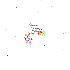 C=CCOC(=O)N[C@H](C(=O)OC(C)c1ccc([C@H]2C[C@@]3(C)C(CC[C@@]3(O)C(F)(F)C(F)(F)F)C3CCC4=CC(=O)CCC4=C32)cc1)C(C)C